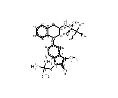 Cn1c(=O)n(CC(C)(C)C)c2ccc(N3CC(NS(=O)(=O)C(F)(F)F)Cc4ccccc43)nc21